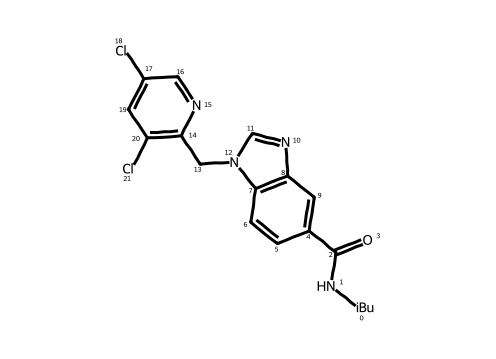 CCC(C)NC(=O)c1ccc2c(c1)ncn2Cc1ncc(Cl)cc1Cl